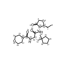 CC[C@@H]1OCC(=O)[C@H]1NC(=O)[C@H](CC1(C)CCCC1)NC(=O)N1CCOCC1